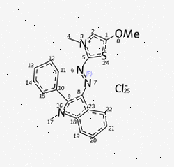 COc1c[n+](C)c(/N=N/c2c(-c3ccccc3)n(C)c3ccccc23)s1.[Cl-]